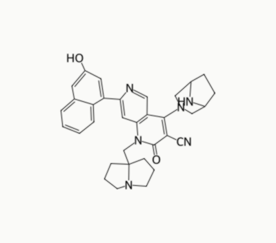 N#Cc1c(N2CC3CCC(C2)N3)c2cnc(-c3cc(O)cc4ccccc34)cc2n(CC23CCCN2CCC3)c1=O